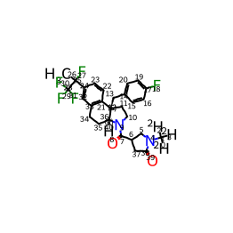 [2H]C([2H])([2H])N1CC(C(=O)N2CC[C@@]3(Cc4ccc(F)cc4)c4ccc(C(C)(F)C(F)(F)F)cc4CC[C@@H]23)CC1=O